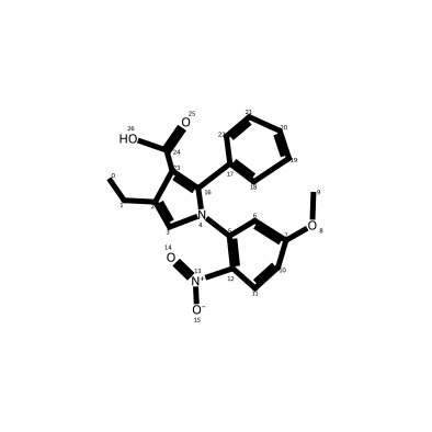 CCc1cn(-c2cc(OC)ccc2[N+](=O)[O-])c(-c2ccccc2)c1C(=O)O